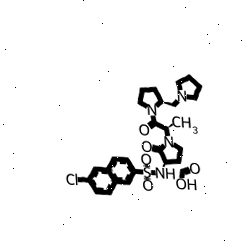 C[C@@H](C(=O)N1CCC[C@H]1CN1CCCC1)N1CC[C@H](NS(=O)(=O)c2ccc3cc(Cl)ccc3c2)C1=O.O=CO